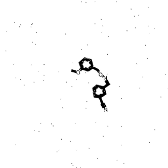 COc1cccc(CO/N=[C]\c2cccc(C#N)c2)c1